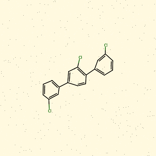 Clc1cccc(-c2ccc(-c3cccc(Cl)c3)c(Cl)c2)c1